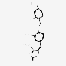 CNC1=NC(=O)SC1=Cc1ccc(OCc2ccc(C(F)(F)F)cc2C(F)(F)F)c(C(F)(F)F)c1